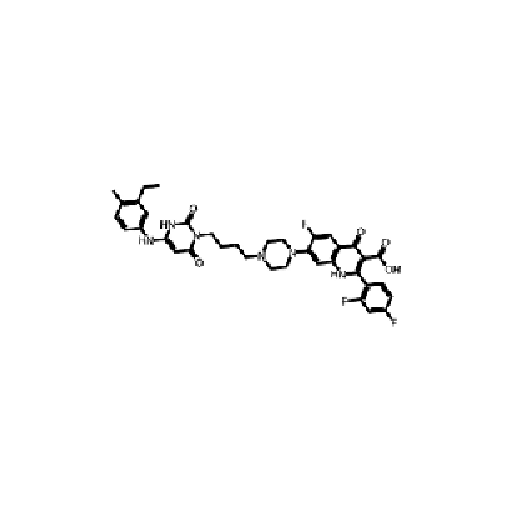 CCc1cc(Nc2cc(=O)n(CCCCN3CCN(c4cc5[nH]c(-c6ccc(F)cc6F)c(C(=O)O)c(=O)c5cc4F)CC3)c(=O)[nH]2)ccc1C